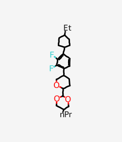 CCCC1COC(C2CCC(c3ccc(C4CCC(CC)CC4)c(F)c3F)CO2)OC1